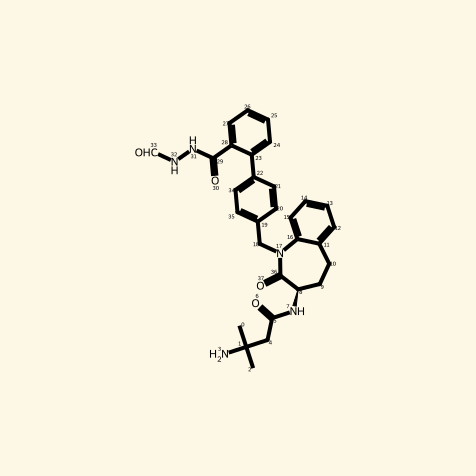 CC(C)(N)CC(=O)N[C@@H]1CCc2ccccc2N(Cc2ccc(-c3ccccc3C(=O)NNC=O)cc2)C1=O